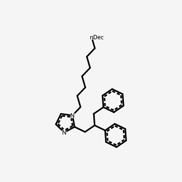 CCCCCCCCCCCCCCCCCn1ccnc1CC(Cc1ccccc1)c1ccccc1